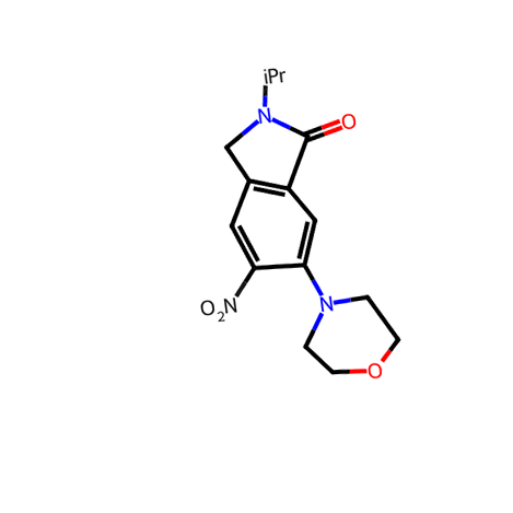 CC(C)N1Cc2cc([N+](=O)[O-])c(N3CCOCC3)cc2C1=O